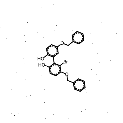 Oc1ccc(OCc2ccccc2)cc1-c1c(O)ccc(OCc2ccccc2)c1Br